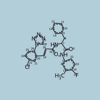 Cc1cc(NC(=O)C(Cc2ccccc2)NC(=O)C=Cc2cc(Cl)ccc2-n2cnnn2)ccc1F